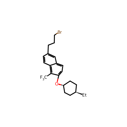 CC[C@H]1CC[C@@H](Oc2ccc3cc(CCCBr)ccc3c2C(F)(F)F)CC1